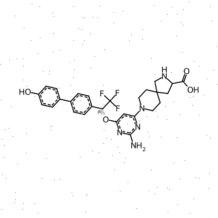 Nc1nc(O[C@H](c2ccc(-c3ccc(O)cc3)cc2)C(F)(F)F)cc(N2CCC3(CC2)CNC(C(=O)O)C3)n1